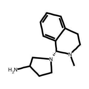 CN1CCc2c[c]ccc2[C@H]1N1CCC(N)C1